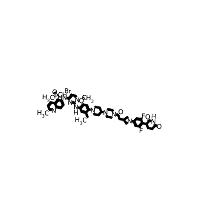 CCc1cc(Nc2ncc(Br)c(Nc3ccc4nc(C)ccc4c3P(C)(C)=O)n2)c(OC)cc1N1CCC(N2CCN(C(=O)CC3CN(c4cc(F)c(C5CCC(=O)NC5=O)c(F)c4)C3)CC2)CC1